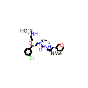 CN[C@H](CNC(=O)N(C)CC[C@@H](OCCNC(=O)O)c1cccc(Cl)c1)C[C@H]1CCCOC1